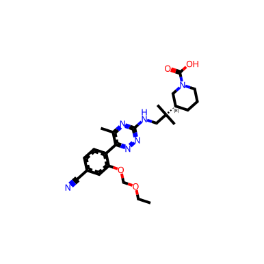 CCOCOc1cc(C#N)ccc1-c1nnc(NCC(C)(C)[C@H]2CCCN(C(=O)O)C2)nc1C